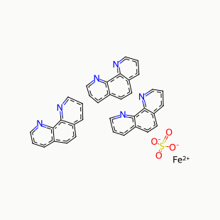 O=S(=O)([O-])[O-].[Fe+2].c1cnc2c(c1)ccc1cccnc12.c1cnc2c(c1)ccc1cccnc12.c1cnc2c(c1)ccc1cccnc12